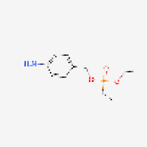 CCOP(=O)(CC)OCc1ccc(N)cc1